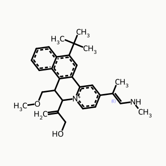 C=C(CO)C1C(COC)c2c(cc(C(C)(C)C)c3ccccc23)-c2cc(/C(C)=C/NC)cc[n+]21